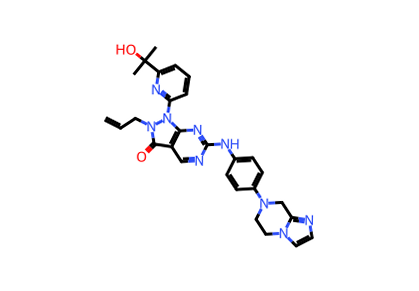 C=CCn1c(=O)c2cnc(Nc3ccc(N4CCn5ccnc5C4)cc3)nc2n1-c1cccc(C(C)(C)O)n1